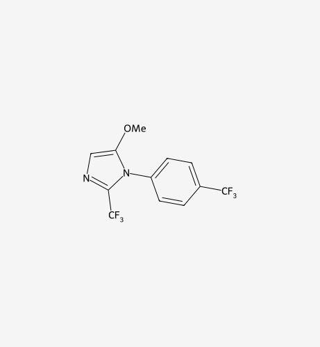 COc1cnc(C(F)(F)F)n1-c1ccc(C(F)(F)F)cc1